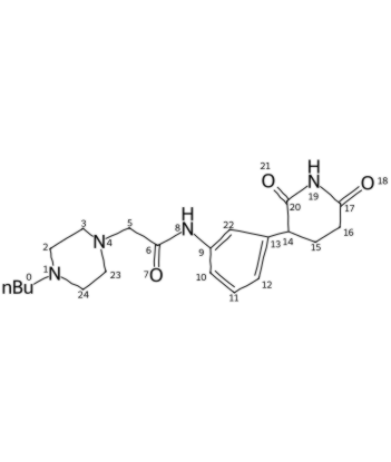 CCCCN1CCN(CC(=O)Nc2cccc(C3CCC(=O)NC3=O)c2)CC1